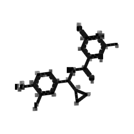 Cc1nc(C(=O)NC(c2ccc(C(F)(F)F)c(F)c2)C2CC2)cc(=O)[nH]1